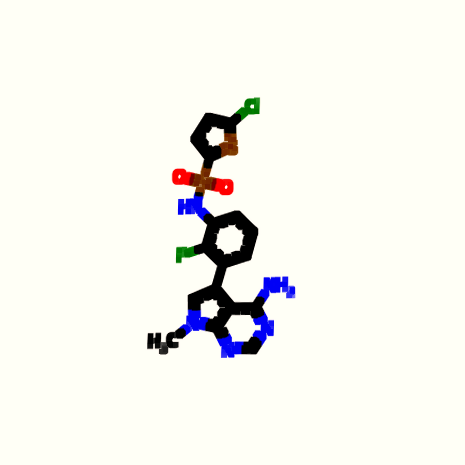 Cn1cc(-c2cccc(NS(=O)(=O)c3ccc(Cl)s3)c2F)c2c(N)ncnc21